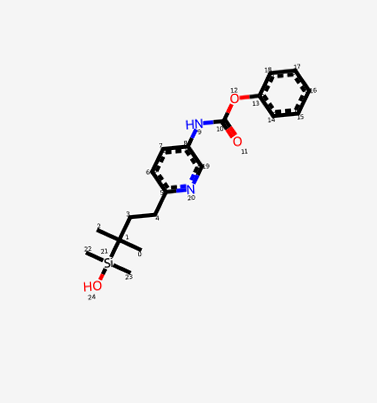 CC(C)(CCc1ccc(NC(=O)Oc2ccccc2)cn1)[Si](C)(C)O